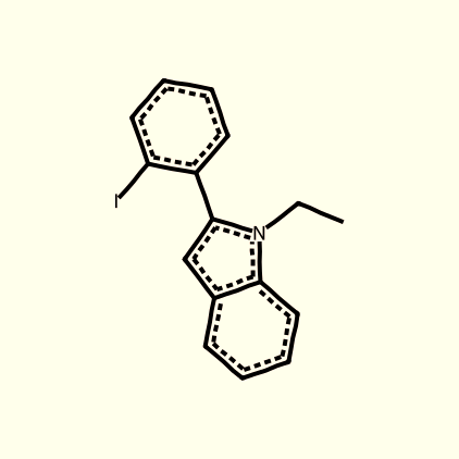 CCn1c(-c2ccccc2I)cc2ccccc21